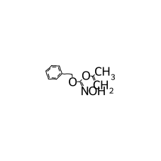 C=C(C)OC(=NO)OCc1ccccc1